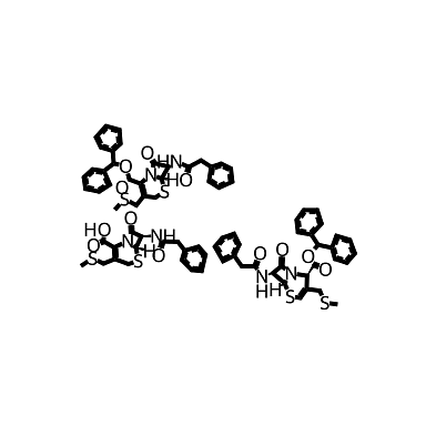 CSCC1=C(C(=O)O)N2C(=O)[C@@H](NC(=O)Cc3ccccc3)[C@@H]2SC1.CSCC1=C(C(=O)OC(c2ccccc2)c2ccccc2)N2C(=O)[C@@H](NC(=O)Cc3ccccc3)[C@@H]2SC1.CSCC1=CS[C@H]2[C@H](NC(=O)Cc3ccccc3)C(=O)N2[C@H]1C(=O)OC(c1ccccc1)c1ccccc1